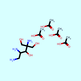 CC(=O)O.CC(=O)O.CC(=O)O.CC(=O)O.NCC(N)C(O)C(N)(CO)CO